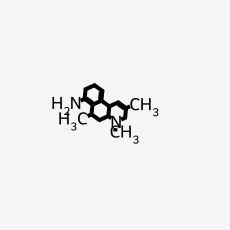 CC1=CC2C3=CCCC(N)=C3C(C)CC2N(C)C1